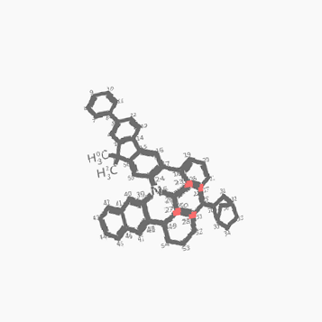 CC1(C)c2cc(-c3ccccc3)ccc2-c2cc(-c3ccccc3)c(N(c3ccc(C4CC5CCC4C5)cc3)c3cc4ccccc4cc3C3CCCCC3)cc21